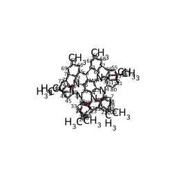 Cc1ccc(N(c2ccc(C)cc2)c2c(-n3c4ccc(C)cc4c4cc(C)ccc43)c(N(c3ccc(C)cc3)c3ccc(C)cc3)c3c4c2-n2c5ccc(C)cc5c5cc(C)cc(c52)C4c2cc(C)cc4c5cc(C)ccc5n-3c24)cc1